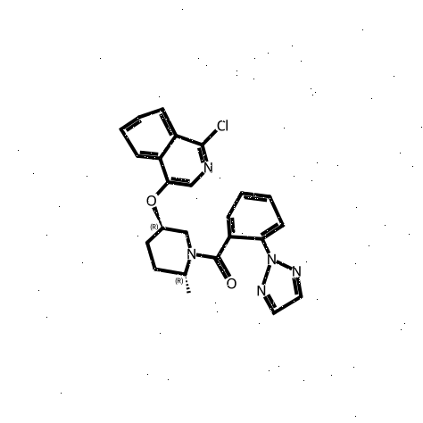 C[C@@H]1CC[C@@H](Oc2cnc(Cl)c3ccccc23)CN1C(=O)c1ccccc1-n1nccn1